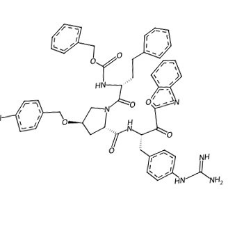 N=C(N)Nc1ccc(C[C@H](NC(=O)[C@@H]2C[C@@H](OCc3ccc(Cl)cc3)CN2C(=O)[C@@H](CCc2ccccc2)NC(=O)OCc2ccccc2)C(=O)c2nc3ccccc3o2)cc1